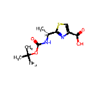 C[C@@H](NC(=O)OC(C)(C)C)c1nc(C(=O)O)cs1